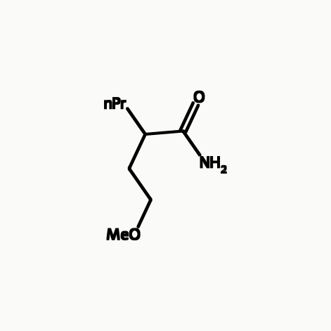 CCCC(CCOC)C(N)=O